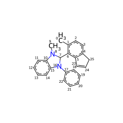 Cc1ccc2c(c1C1N(C)c3ccccc3N1c1ccccc1)C=CC2